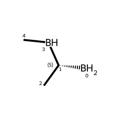 B[C@H](C)BC